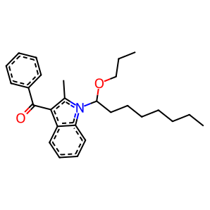 CCCCCCCC(OCCC)n1c(C)c(C(=O)c2ccccc2)c2ccccc21